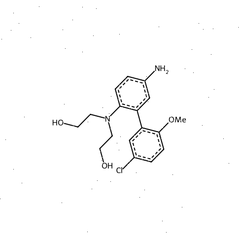 COc1ccc(Cl)cc1-c1cc(N)ccc1N(CCO)CCO